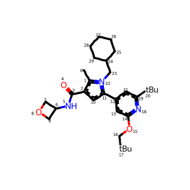 Cc1c(C(=O)NC2COC2)cc(-c2cc(OCC(C)(C)C)nc(C(C)(C)C)c2)n1CC1CCCCC1